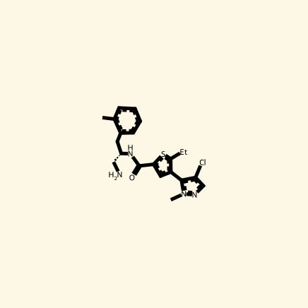 CCc1sc(C(=O)N[C@H](CN)Cc2ccccc2C)cc1-c1c(Cl)cnn1C